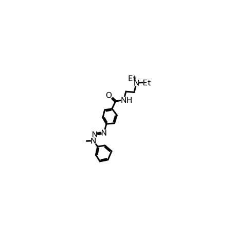 CCN(CC)CCNC(=O)c1ccc(N=NN(C)c2ccccc2)cc1